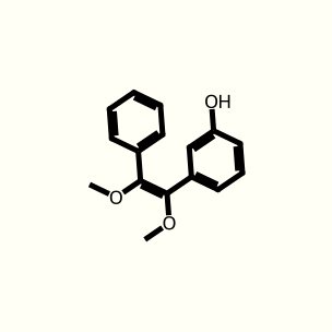 CO/C(=C(\OC)c1cccc(O)c1)c1ccccc1